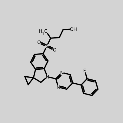 CC(CCO)S(=O)(=O)c1ccc2c(c1)N(c1ncc(-c3ccccc3F)cn1)CC21CC1